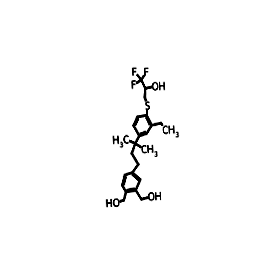 CCc1cc(C(C)(C)CCc2ccc(CO)c(CO)c2)ccc1SCC(O)C(F)(F)F